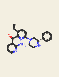 C=Cc1ccc(N2CCN[C@@H](c3ccccc3)C2)nc1C(=O)c1cccnc1N